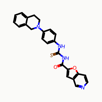 O=C(NC(=S)Nc1ccc(N2CCc3ccccc3C2)cc1)c1cc2cnccc2o1